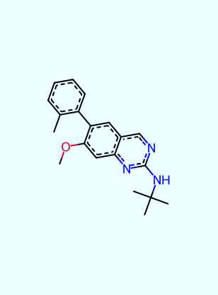 COc1cc2nc(NC(C)(C)C)ncc2cc1-c1ccccc1C